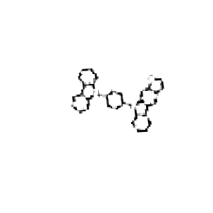 c1ccc2c(c1)c1ccccc1n2-c1ccc(-n2c3ccccc3c3cc4ccoc4cc32)cc1